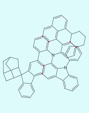 c1ccc(-n2c3ccccc3c3cccc(N(c4ccccc4-c4ccc5c(c4)C4(c6ccccc6-5)C5CC6CC7CC4C75C6)c4ccccc4-c4cccc5cccc(C6CCCCC6)c45)c32)cc1